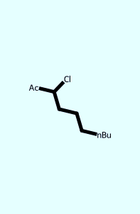 CCCCCCCC(Cl)C(C)=O